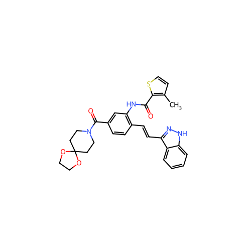 Cc1ccsc1C(=O)Nc1cc(C(=O)N2CCC3(CC2)OCCO3)ccc1C=Cc1n[nH]c2ccccc12